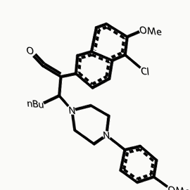 CCCCC(C(=C=O)c1ccc2c(Cl)c(OC)ccc2c1)N1CCN(c2ccc(OC)cc2)CC1